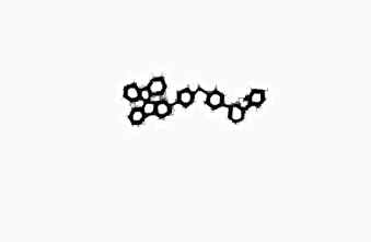 C1=C(c2ccc(Cc3ccc(-c4ccc5c(c4)C4(c6ccccc6-c6ccccc64)c4ccccc4-5)cc3)cc2)c2sc3ccccc3c2CC1